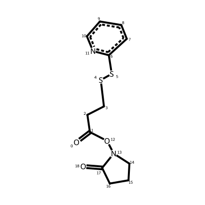 O=C(CCSSc1ccccn1)ON1CCCC1=O